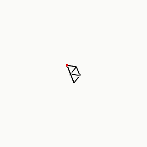 P12C34P5C16P3P2546